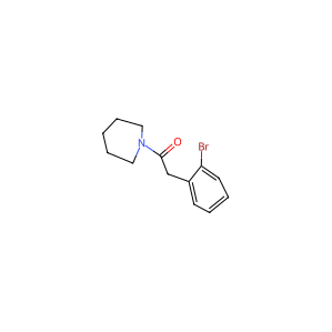 O=C(Cc1ccccc1Br)N1CCCCC1